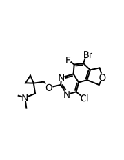 CN(C)CC1(COc2nc(Cl)c3c4c(c(Br)c(F)c3n2)COC4)CC1